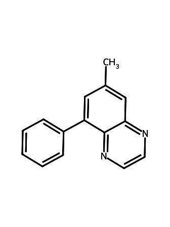 Cc1cc(-c2ccccc2)c2nccnc2c1